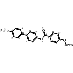 CCCCCOc1ccc(C(=O)Oc2ccc(-c3ccc(CCCCC)cc3)cc2)cc1